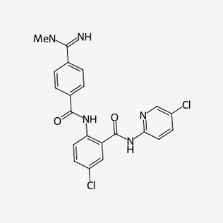 CNC(=N)c1ccc(C(=O)Nc2ccc(Cl)cc2C(=O)Nc2ccc(Cl)cn2)cc1